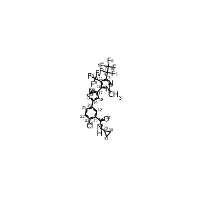 Cn1nc(C(F)(F)C(F)(F)F)c(C(F)(F)F)c1-c1cc(-c2ccc(Cl)c(C(=O)NC3CC3)c2)sn1